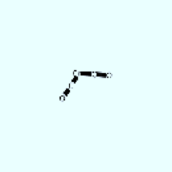 O=[C]=[Cr]=[C]=O